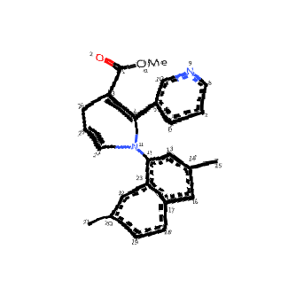 COC(=O)C1=C(c2cccnc2)N(c2cc(C)cc3ccc(C)cc23)C=CC1